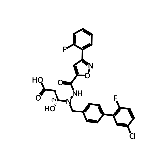 O=C(O)C[C@@H](O)N(Cc1ccc(-c2cc(Cl)ccc2F)cc1)NC(=O)c1cc(-c2ccccc2F)no1